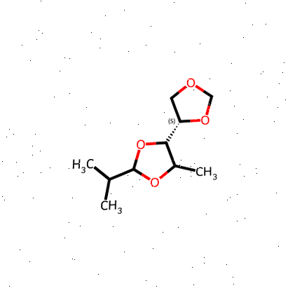 CC(C)C1OC(C)C([C@@H]2COCO2)O1